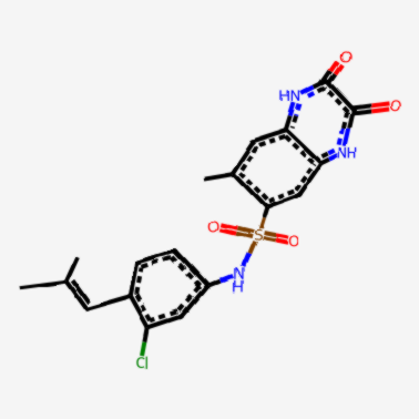 CC(C)=Cc1ccc(NS(=O)(=O)c2cc3[nH]c(=O)c(=O)[nH]c3cc2C)cc1Cl